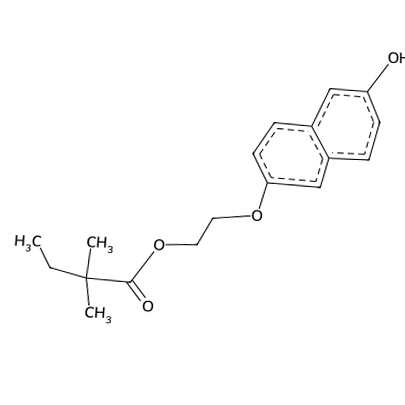 CCC(C)(C)C(=O)OCCOc1ccc2cc(O)ccc2c1